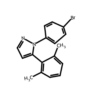 Cc1cccc(C)c1-c1ccnn1-c1ccc(Br)cc1